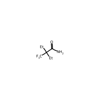 CCC(CC)(C(N)=O)C(F)(F)F